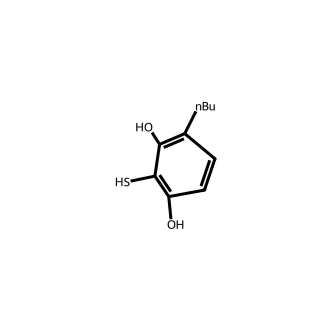 CCCCc1ccc(O)c(S)c1O